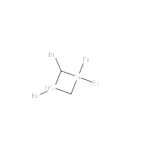 CC[Si]1(CC)C[SiH](Br)C1Br